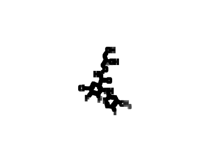 Cc1cc(Nc2c(C(=O)NOC[C@H](O)CO)cc(Cl)c(F)c2F)ncc1I